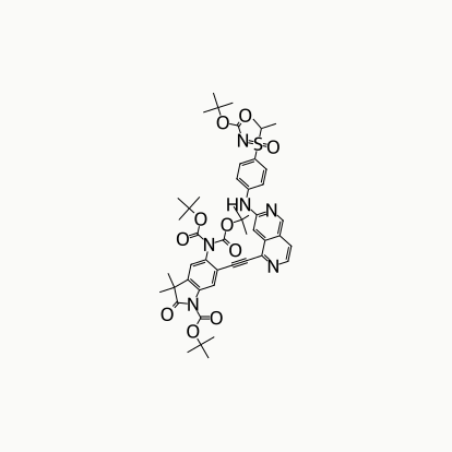 CC(C)S(=O)(=NC(=O)OC(C)(C)C)c1ccc(Nc2cc3c(C#Cc4cc5c(cc4N(C(=O)OC(C)(C)C)C(=O)OC(C)(C)C)C(C)(C)C(=O)N5C(=O)OC(C)(C)C)nccc3cn2)cc1